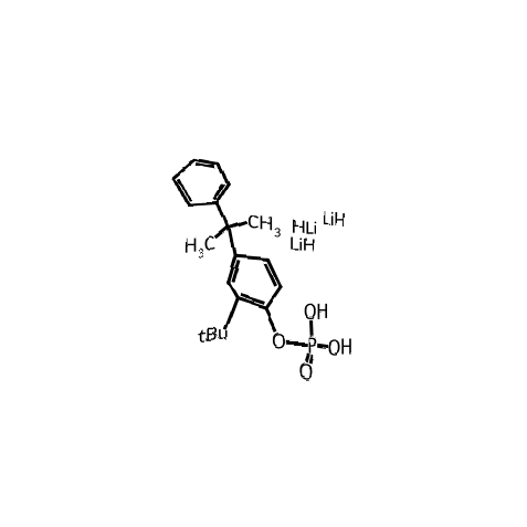 CC(C)(C)c1cc(C(C)(C)c2ccccc2)ccc1OP(=O)(O)O.[LiH].[LiH].[LiH]